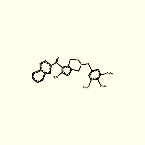 COc1cc(CN2CCc3c(sc(N)c3C(=O)c3ccc4ccccc4c3)C2)cc(OC)c1OC